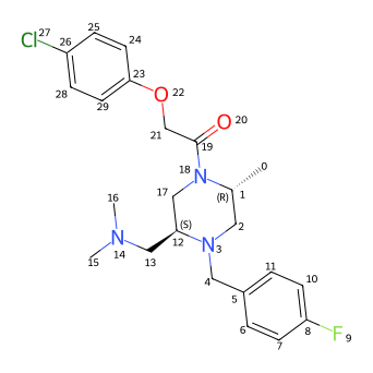 C[C@@H]1CN(Cc2ccc(F)cc2)[C@@H](CN(C)C)CN1C(=O)COc1ccc(Cl)cc1